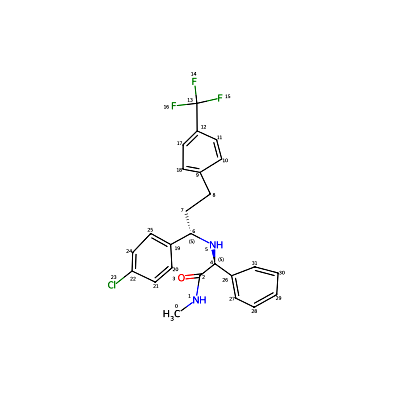 CNC(=O)[C@@H](N[C@@H](CCc1ccc(C(F)(F)F)cc1)c1ccc(Cl)cc1)c1ccccc1